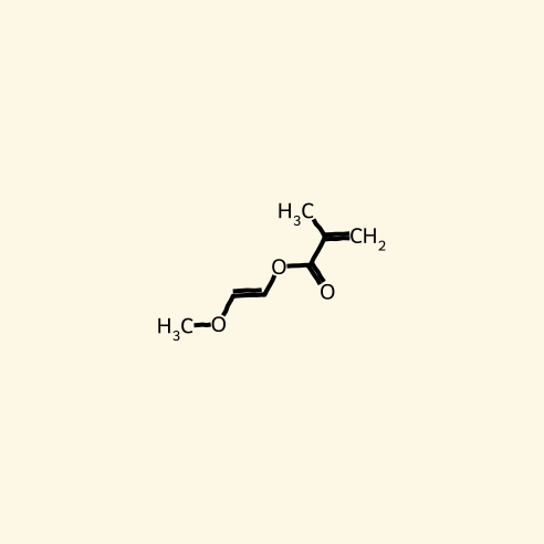 C=C(C)C(=O)OC=COC